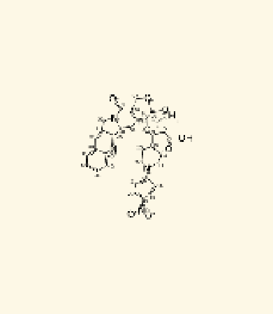 CC[C@@]1(OC(CC(=O)O)N2CCN(c3ccc([N+](=O)[O-])cc3)CC2)C(=O)OCc2c1cc1n(c2=O)Cc2cc3ccccc3nc2-1